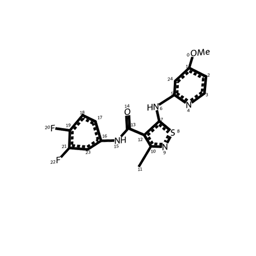 COc1ccnc(Nc2snc(C)c2C(=O)Nc2ccc(F)c(F)c2)c1